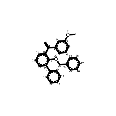 C=C(c1cccc(OC)c1)c1cccc(-c2ccccc2)c1OCc1ccccc1